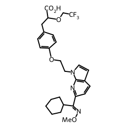 CON=C(c1ccc2ccn(CCOc3ccc(CC(OCC(F)(F)F)C(=O)O)cc3)c2n1)C1CCCCC1